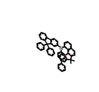 CC1(C)c2ccccc2-c2c1ccc1cccc(N(c3ccc(-c4ccccc4)cc3)c3ccc4c(c3)C(c3ccccc3)(c3ccccc3)c3ccccc3-4)c21